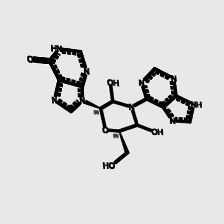 O=c1[nH]cnc2c1ncn2[C@@H]1O[C@H](CO)C(O)N(c2ncnc3[nH]cnc23)C1O